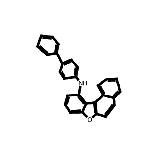 c1ccc(-c2ccc(Nc3cccc4oc5ccc6ccccc6c5c34)cc2)cc1